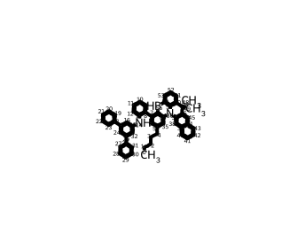 CCCCCc1cc(-c2ccccc2Nc2cc(-c3ccccc3)cc(-c3ccccc3)c2)c2c(c1)N1c3cc4ccccc4cc3C(C)(C)c3cccc(c31)B2